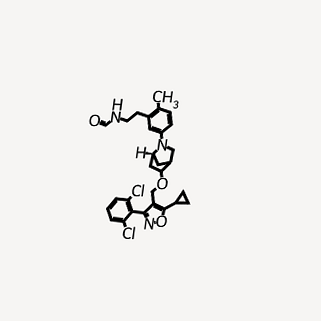 Cc1ccc(N2CC3C[C@@H]2CC3OCc2c(-c3c(Cl)cccc3Cl)noc2C2CC2)cc1CCNC=O